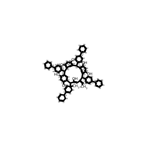 C/C(O)=C1\C=C(/O)C(C2(C)C=CC(C3C=CC=CC3)=CC2)c2cc(c(O)cc2O)C(c2ccc(-c3ccccc3)cc2)c2cc(c(O)cc2O)C(c2ccc(-c3ccccc3)cc2)c2cc(c(O)cc2O)C1c1ccc(-c2ccccc2)cc1